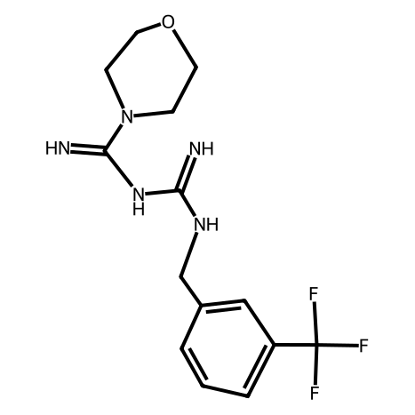 N=C(NCc1cccc(C(F)(F)F)c1)NC(=N)N1CCOCC1